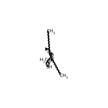 C=C(CC[C@@H](OC(=O)CCCCCCCCCCCCC)C1CC(OCC(CCCCCCCCCCCCC)=C2CC2)CO1)C1CCN(S)CC1